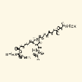 CCCCCCC(C)COC(=O)CCCCCCCN(CCCCCCCC(=O)OC(CCCCC)CCCCCC)CCCNC(=S)N(C)C